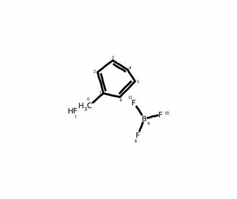 Cc1ccccc1.F.FB(F)F